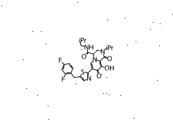 CC(C)CNC(=O)C1CN(C(C)C)C(=O)c2c(O)c(=O)c(-c3ncc(Cc4ccc(F)cc4F)s3)cn21